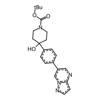 CC(C)(C)OC(=O)N1CCC(O)(c2ccc(-c3cnc4ccnn4c3)cc2)CC1